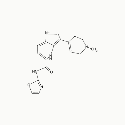 CN1CC=C(c2cnc3ccc(C(=O)Nc4ncco4)[nH]c2-3)CC1